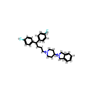 Fc1ccc(C(CCCN2CCC(N3Cc4ccccc4C3)CC2)c2ccc(F)cc2)cc1